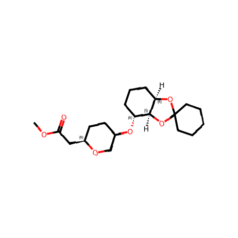 COC(=O)C[C@H]1CCC(O[C@@H]2CCC[C@H]3OC4(CCCCC4)O[C@@H]23)CO1